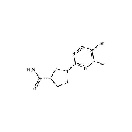 Cc1nc(N2CC[C@H](C(N)=O)C2)ncc1Br